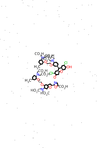 Cc1ccc(N(CC(=O)O)CC(=O)O)c(OCCOc2cc(-c3c4cc(Cl)c(=O)cc-4oc4cc(O)c(Cl)cc34)ccc2N(CC(=O)O)CC(=O)O)c1.Cc1ccc(N(CC(=O)O)CC(=O)O)c(OCCOc2cc3cc(-c4ncc(C(=O)O)o4)oc3cc2N(CC(=O)O)CC(=O)O)c1